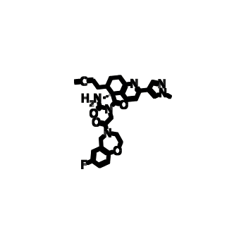 C=C=CCC1CCc2nc(-c3cnn(C)c3)ccc2[C@@]1(C)C(=O)N(CC(=O)N1CCOc2ccc(F)cc2C1)C(N)=O